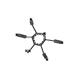 N#Cc1nc(C#N)c(C#N)c(N)c1C#N